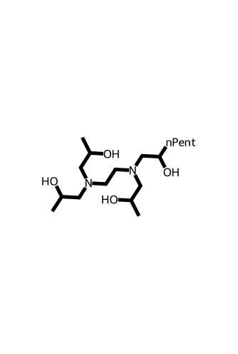 CCCCCC(O)CN(CCN(CC(C)O)CC(C)O)CC(C)O